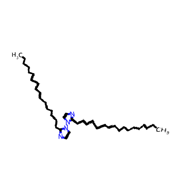 CCCCCCCCCCCCCCCCCc1nccn1-n1ccnc1CCCCCCCCCCCCCCCCC